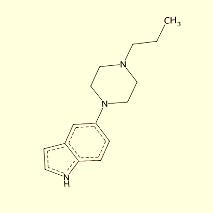 CCCN1CCN(c2ccc3[nH]ccc3c2)CC1